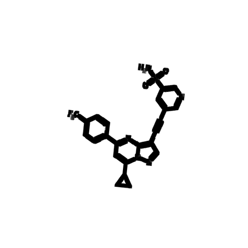 NS(=O)(=O)c1cncc(C#Cc2cnn3c(C4CC4)cc(-c4ccc(C(F)(F)F)cc4)nc23)c1